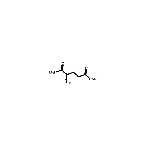 CNC(=O)C(N)CCC(=O)OC